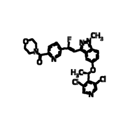 C[C@@H](Oc1ccc2c(c1)c(/C=C(\F)c1ccc(C(=O)N3CCOCC3)nc1)nn2C)c1c(Cl)cncc1Cl